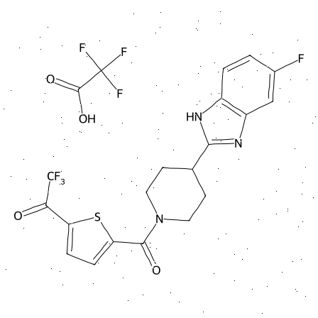 O=C(O)C(F)(F)F.O=C(c1ccc(C(=O)C(F)(F)F)s1)N1CCC(c2nc3cc(F)ccc3[nH]2)CC1